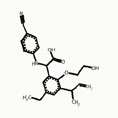 C=CC(C)c1cc(CC)cc(C(Nc2ccc(C#N)cc2)C(=O)O)c1OCCO